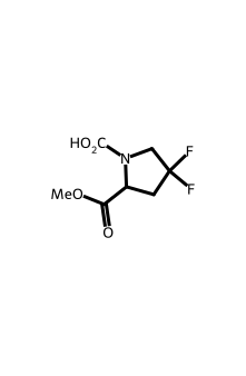 COC(=O)C1CC(F)(F)CN1C(=O)O